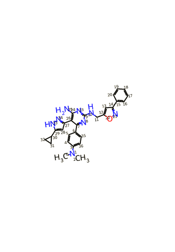 CN(C)c1ccc(-c2nc(NCc3cc(-c4ccccc4)no3)nc(N)c2-c2cc(C3CC3)[nH]n2)cc1